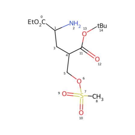 CCOC(=O)C(N)CC(COS(C)(=O)=O)C(=O)OC(C)(C)C